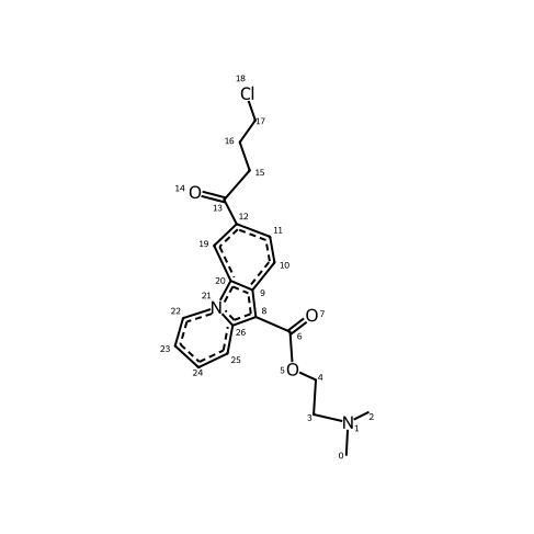 CN(C)CCOC(=O)c1c2ccc(C(=O)CCCCl)cc2n2ccccc12